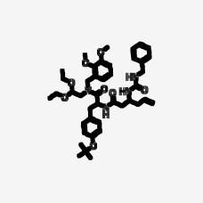 C=CCC(CC(=O)NC(Cc1ccc(OC(C)(C)C)cc1)C(=O)N(Cc1cccc(OC)c1OC)CC(OCC)OCC)NC(=O)NCc1ccccc1